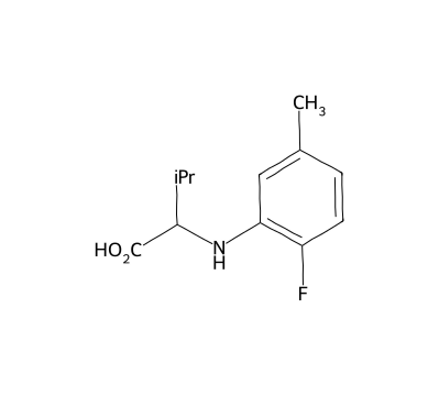 Cc1ccc(F)c(NC(C(=O)O)C(C)C)c1